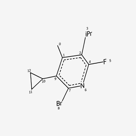 Cc1c(C(C)C)c(F)nc(Br)c1C1CC1